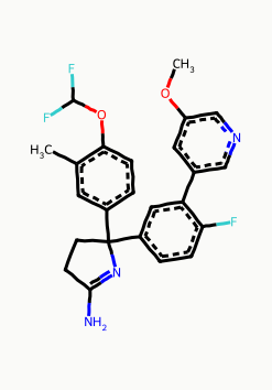 COc1cncc(-c2cc(C3(c4ccc(OC(F)F)c(C)c4)CCC(N)=N3)ccc2F)c1